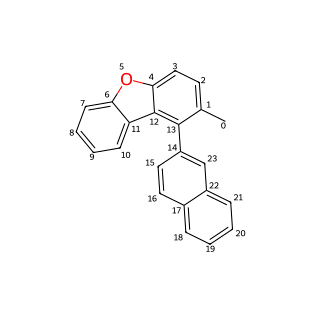 Cc1ccc2oc3ccccc3c2c1-c1ccc2ccccc2c1